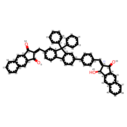 O=C1C(=Cc2ccc3c(c2)C(c2ccccc2)(c2ccccc2)c2cc(-c4ccc(/C=C5/C(=O)c6cc7ccccc7cc6C5O)cc4)ccc2-3)C(=O)c2cc3ccccc3cc21